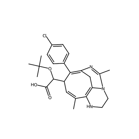 CC1=CC(C(OC(C)(C)C)C(=O)O)/C(c2ccc(Cl)cc2)=C2\CC3=C1NCCN3C(C)=N2